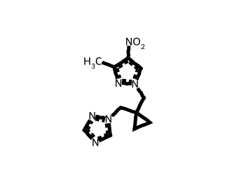 Cc1nn(CC2(Cn3cncn3)CC2)cc1[N+](=O)[O-]